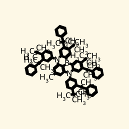 Cc1cc2c3c(c1)N(c1ccc(C(C)(C)C)c(C(C)(C)c4ccccc4)c1)c1cc(C(C)(C)c4ccccc4)c(C(C)(C)C)cc1B3c1cc(C(C)(C)C)c(C(C)(C)c3ccccc3)cc1N2c1ccc(C(C)(C)C)c(C(C)(C)c2ccccc2)c1